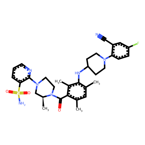 Cc1cc(C)c(C(=O)N2CCN(c3ncccc3S(N)(=O)=O)C[C@@H]2C)c(C)c1NC1CCN(c2ccc(F)cc2C#N)CC1